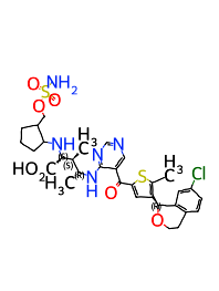 Cc1sc(C(=O)c2cncnc2N[C@H](C)[C@H](C)[C@H](NC2CCCC2COS(N)(=O)=O)C(=O)O)cc1[C@@H]1OCCc2ccc(Cl)cc21